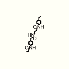 C=CC(=O)Nc1ccc(CC(=O)NCCCC(=O)Nc2ccc(CC)cc2)cc1